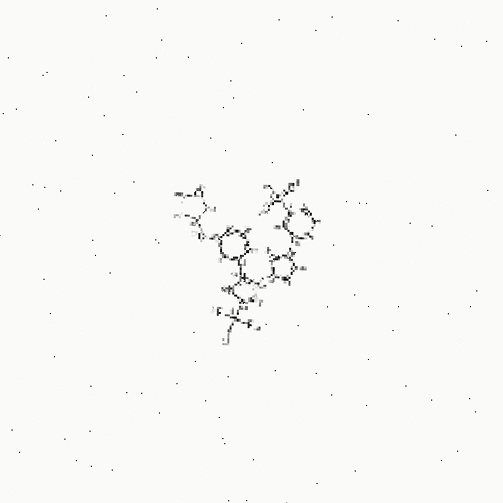 CS(=O)(=O)c1cccc(-c2ccc(-c3cc(C(F)(F)F)nn3-c3cccc(OC4CCOC4)c3)s2)c1